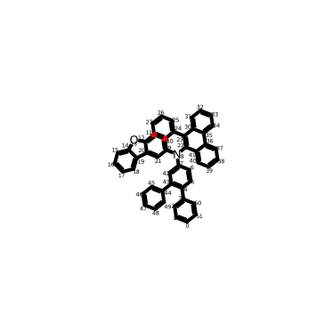 c1ccc(-c2ccc(N(c3ccc4oc5ccccc5c4c3)c3c(-c4ccccc4)c4ccccc4c4ccccc34)cc2-c2ccccc2)cc1